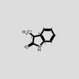 CC1C(=O)Nc2ccc[c]c21